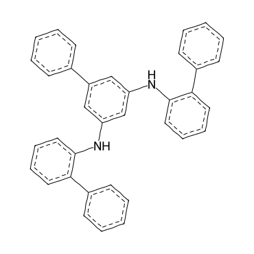 c1ccc(-c2cc(Nc3ccccc3-c3ccccc3)cc(Nc3ccccc3-c3ccccc3)c2)cc1